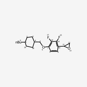 CCCCC1CCC(COc2ccc(C3CO3)c(F)c2F)CC1